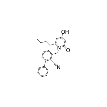 CCCCc1cc(O)cc(=O)n1Cc1cccc(-c2ccccc2)c1C#N